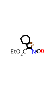 CCOC(=O)c1c(N=C=O)sc2c1CCCCC2